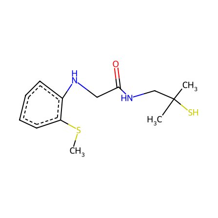 CSc1ccccc1NCC(=O)NCC(C)(C)S